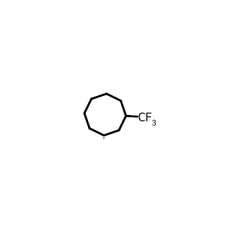 FC(F)(F)C1C[CH]CCCCC1